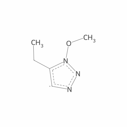 CCc1[c]nnn1OC